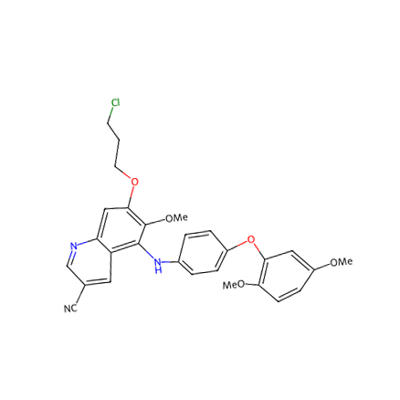 COc1ccc(OC)c(Oc2ccc(Nc3c(OC)c(OCCCCl)cc4ncc(C#N)cc34)cc2)c1